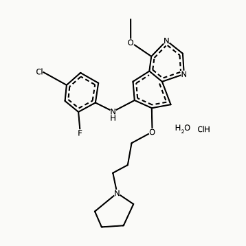 COc1ncnc2cc(OCCCN3CCCC3)c(Nc3ccc(Cl)cc3F)cc12.Cl.O